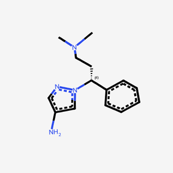 CN(C)CC[C@H](c1ccccc1)n1cc(N)cn1